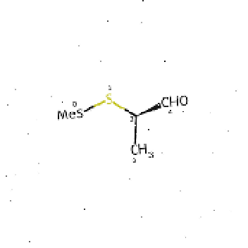 CSS[C@H](C)C=O